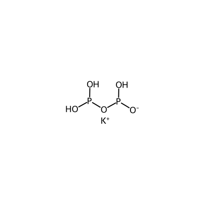 [K+].[O-]P(O)OP(O)O